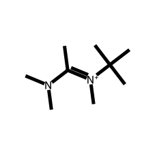 C/C(N(C)C)=[N+](/C)C(C)(C)C